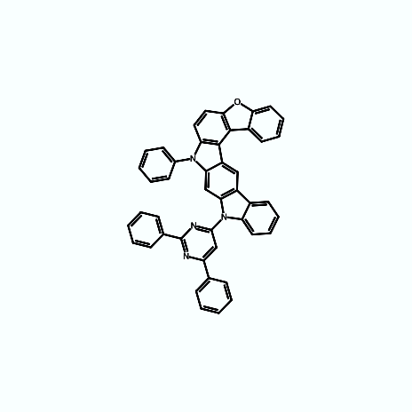 c1ccc(-c2cc(-n3c4ccccc4c4cc5c6c7c(ccc6n(-c6ccccc6)c5cc43)oc3ccccc37)nc(-c3ccccc3)n2)cc1